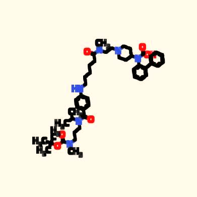 CC(C)N(CCCN(C)C(=O)OC(C)(C)C)C(=O)c1ccc(NCCCCCC(=O)N(C)CCN2CCC(N(C(=O)O)c3ccccc3-c3ccccc3)CC2)cc1